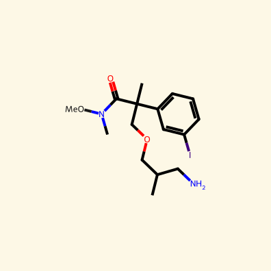 CON(C)C(=O)C(C)(COCC(C)CN)c1cccc(I)c1